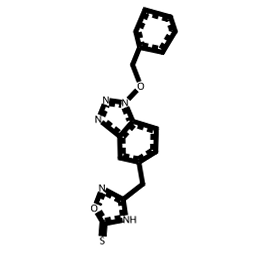 S=c1[nH]c(Cc2ccc3c(c2)nnn3OCc2ccccc2)no1